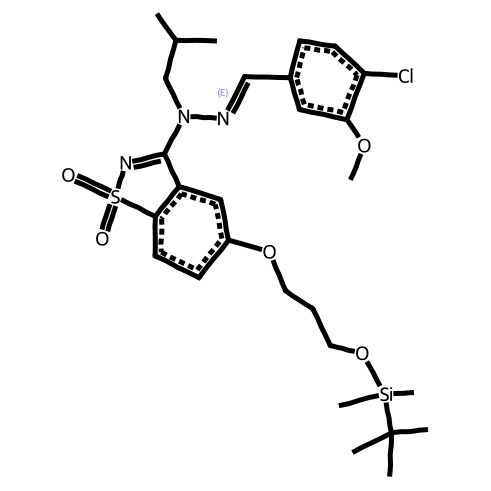 COc1cc(/C=N/N(CC(C)C)C2=NS(=O)(=O)c3ccc(OCCCO[Si](C)(C)C(C)(C)C)cc32)ccc1Cl